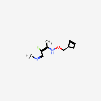 C/N=C\C(F)=C(\C)NOC[C@H]1C=CC1